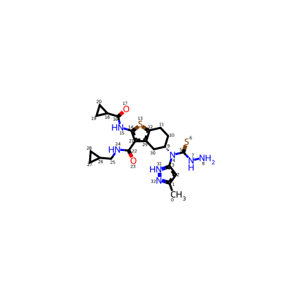 Cc1cc(N(C(=S)NN)[C@H]2CCc3sc(NC(=O)C4CC4)c(C(=O)NCC4CC4)c3C2)[nH]n1